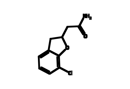 NC(=O)CC1Cc2cccc(Cl)c2O1